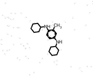 Cc1cc(NC2CCCCC2)ccc1NC1CCCCC1